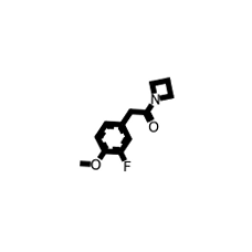 COc1ccc(CC(=O)N2CCC2)cc1F